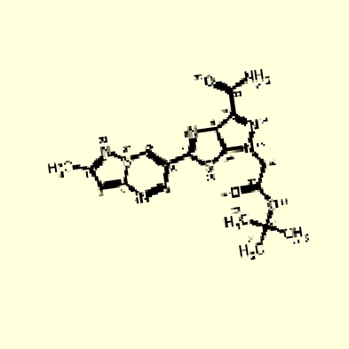 Cc1cc2ncc(C3=NC4C(C(N)=O)=NN(CC(=O)OC(C)(C)C)C4S3)cn2n1